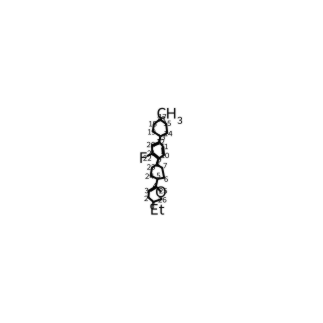 CCC1CC=C(C2CCC(c3ccc(C4CCC(C)CC4)cc3F)CC2)OC1